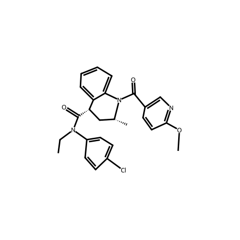 CCN(C(=O)[C@H]1C[C@@H](C)N(C(=O)c2ccc(OC)nc2)c2ccccc21)c1ccc(Cl)cc1